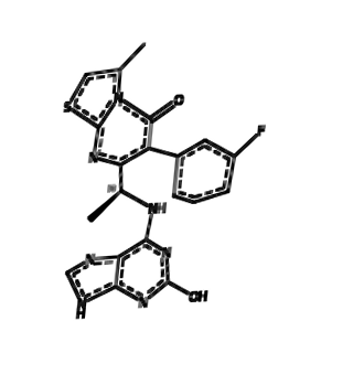 Cc1csc2nc([C@H](C)Nc3nc(O)nc4[nH]cnc34)c(-c3cccc(F)c3)c(=O)n12